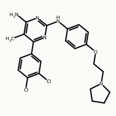 Cc1c(N)nc(Nc2ccc(OCCN3CCCC3)cc2)nc1-c1ccc(Cl)c(Cl)c1